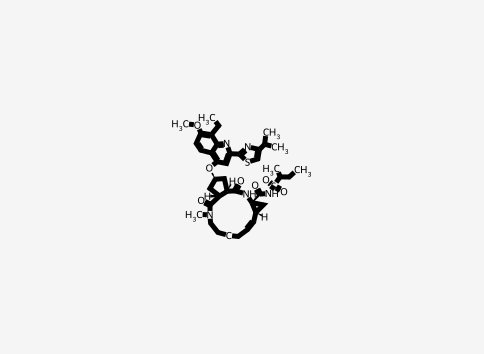 CCc1c(OC)ccc2c(O[C@@H]3C[C@H]4C(=O)N[C@]5(C(=O)NS(=O)(=O)C(C)CC)C[C@H]5/C=C\CCCCN(C)C(=O)[C@@H]4C3)cc(-c3nc(C(C)C)cs3)nc12